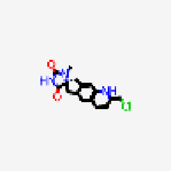 CN1C(=O)NC(=O)[C@@]12CC1=CC3=C(C=CC(CCl)N3)CC1C2